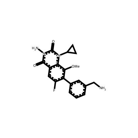 COc1c(-c2cccc(CN)c2)c(F)cc2c(=O)n(N)c(=O)n(C3CC3)c12